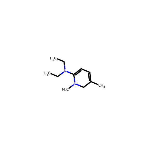 CCN(CC)C1=CC=C(C)CN1C